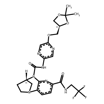 CC1(C)OC[C@H](COc2cnc(NC(=O)N3c4nc(C(=O)NCC(F)(F)F)ccc4N4CC[C@H]3C4)cn2)O1